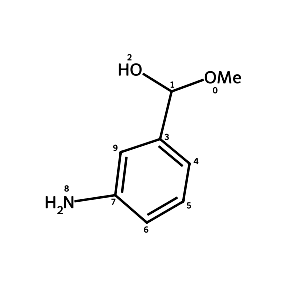 COC(O)c1cccc(N)c1